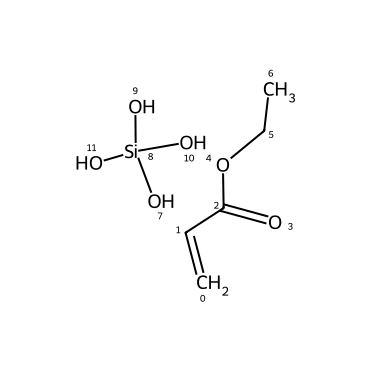 C=CC(=O)OCC.O[Si](O)(O)O